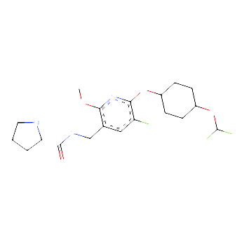 COc1nc(OC2CCC(OC(F)F)CC2)c(F)cc1CNC(=O)[C@@H]1CCCN1